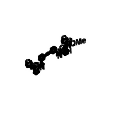 COC(=O)N[C@H](C(=O)N1CCC[C@H]1c1ncc(-c2cccc(C#Cc3cccc(-c4cnc([C@@H]5CCCN5C(=O)CC5CCOCC5)[nH]4)c3)c2)[nH]1)C1CCOCC1